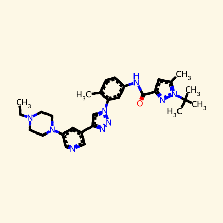 CCN1CCN(c2cncc(-c3cn(-c4cc(NC(=O)c5cc(C)n(C(C)(C)C)n5)ccc4C)nn3)c2)CC1